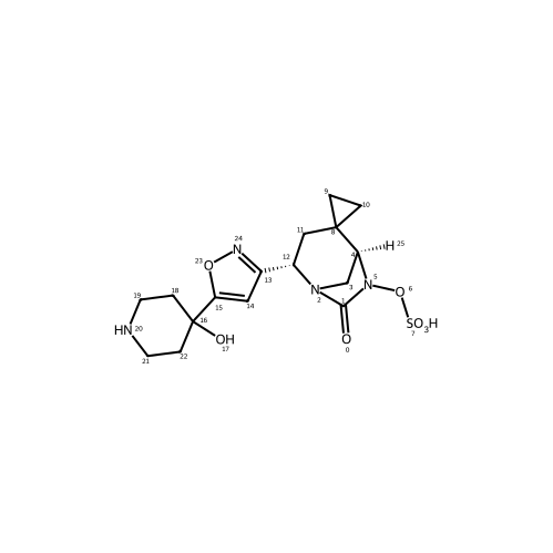 O=C1N2C[C@H](N1OS(=O)(=O)O)C1(CC1)C[C@H]2c1cc(C2(O)CCNCC2)on1